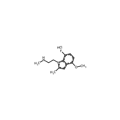 CNCCn1c(C)cc2c(OC)ccc(F)c21.Cl